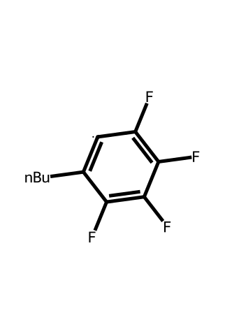 CCCCc1[c]c(F)c(F)c(F)c1F